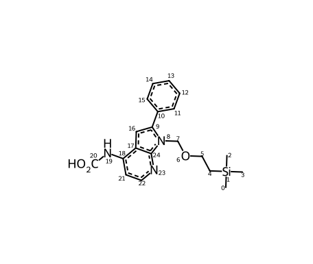 C[Si](C)(C)CCOCn1c(-c2ccccc2)cc2c(NC(=O)O)ccnc21